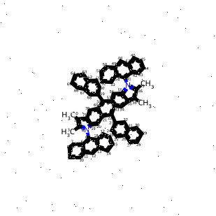 Cc1c(C)n(-c2c3ccccc3cc3ccccc23)c2cc3c(-c4ccc5ccccc5c4)c4cc5c(C)c(C)n(-c6c7ccccc7cc7ccccc67)c5cc4c(-c4ccc5ccccc5c4)c3cc12